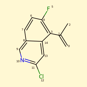 C=C(C)c1c(F)ccc2cnc(Cl)cc12